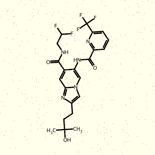 CC(C)(O)CCc1cn2cc(NC(=O)c3cccc(C(F)(F)F)n3)c(C(=O)NCC(F)F)cc2n1